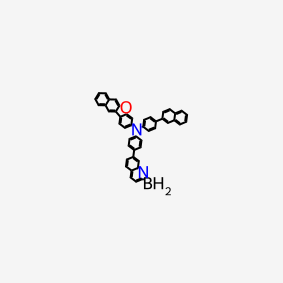 Bc1ccc2ccc(-c3ccc(N(c4ccc(-c5ccc6ccccc6c5)cc4)c4ccc5c(c4)oc4cc6ccccc6cc45)cc3)cc2n1